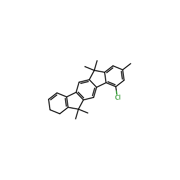 Cc1cc(Cl)c2c(c1)C(C)(C)c1cc3c(cc1-2)C(C)(C)C1=C3C=CCC1